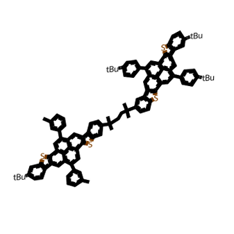 Cc1cccc(-c2cc3c4sc5cc(C(C)(C)CCC(C)(C)c6ccc7sc8c(cc9c(-c%10ccc(C(C)(C)C)cc%10)cc%10c%11sc%12ccc(C(C)(C)C)cc%12c%11cc%11c(-c%12ccc(C(C)(C)C)cc%12)cc8c9c%11%10)c7c6)ccc5c4cc4c(-c5cccc(C)c5)cc5c6sc7cc(C(C)(C)C)ccc7c6cc2c5c43)c1